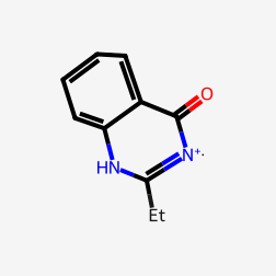 CCC1=[N+]C(=O)c2ccccc2N1